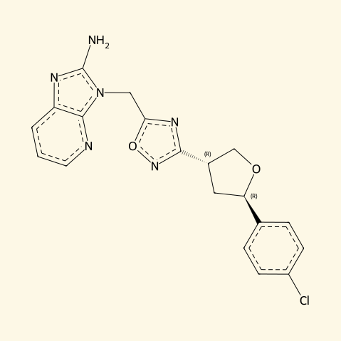 Nc1nc2cccnc2n1Cc1nc([C@@H]2CO[C@@H](c3ccc(Cl)cc3)C2)no1